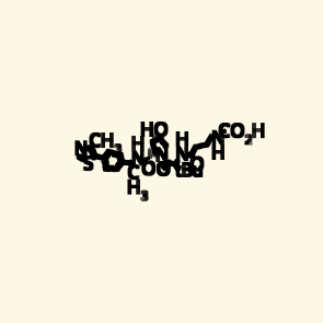 Cc1ncsc1-c1ccc(C(C)NC(=O)[C@@H]2C[C@@H](O)CN2C(=O)C(NC(=O)CCCNC(=O)O)C(C)(C)C)cc1